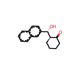 O=C1CCCC[C@H]1[C@@H](O)c1ccc2ccccc2c1